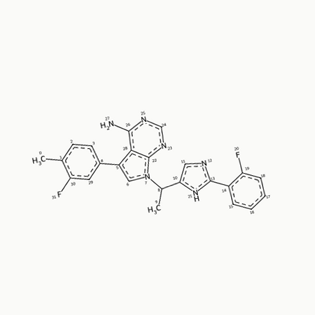 Cc1ccc(-c2cn(C(C)c3cnc(-c4ccccc4F)[nH]3)c3ncnc(N)c23)cc1F